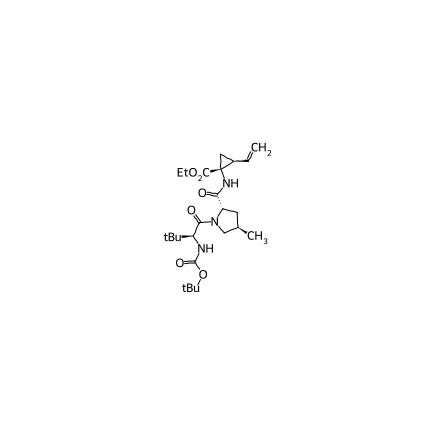 C=C[C@@H]1C[C@]1(NC(=O)[C@@H]1C[C@@H](C)CN1C(=O)[C@@H](NC(=O)OC(C)(C)C)C(C)(C)C)C(=O)OCC